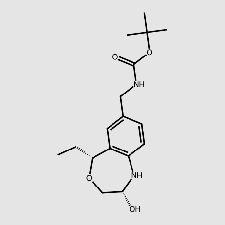 CC[C@H]1OC[C@@H](O)Nc2ccc(CNC(=O)OC(C)(C)C)cc21